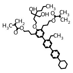 C=C(C)C(=O)OCCCc1cc(-c2ccc(-c3ccc(C4CCCCC4)cc3)cc2CC)cc(CCCOC(=O)C(=C)C)c1OCCC(CO)(CO)CCCC